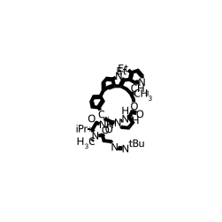 CCc1ccncc1-c1c2c3cc(ccc3n1CC)-c1cccc(c1)C[C@H](NC(=O)[C@H](C(C)C)N(C)C(=O)CCN=C=NC(C)(C)C)C(=O)N1CCC[C@H](N1)C(=O)OCC(C)(C)C2